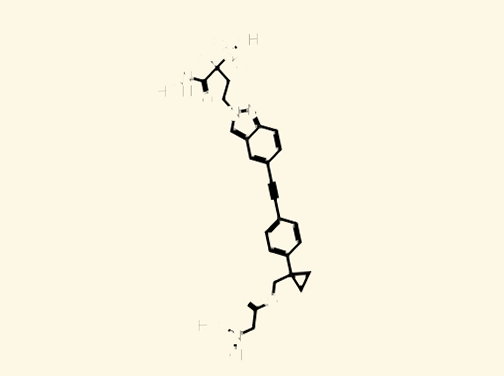 CN(C)CC(=O)OCC1(c2ccc(C#Cc3ccc4nn(CC[C@](C)(C(=O)NO)S(C)(=O)=O)cc4c3)cc2)CC1